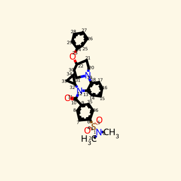 CN(C)S(=O)(=O)c1ccc(C(=O)N(c2ccccc2N2CCC(Oc3ccccc3)CC2)C2CC2)cc1